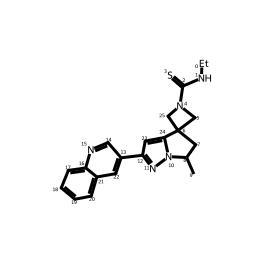 CCNC(=S)N1CC2(CC(C)n3nc(-c4cnc5ccccc5c4)cc32)C1